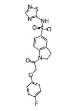 O=C(COc1ccc(F)cc1)N1CCc2cc(S(=O)(=O)Nc3ncns3)ccc21